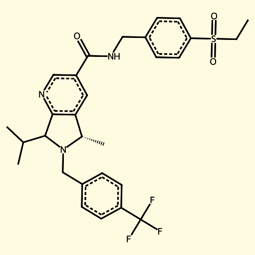 CCS(=O)(=O)c1ccc(CNC(=O)c2cnc3c(c2)[C@H](C)N(Cc2ccc(C(F)(F)F)cc2)C3C(C)C)cc1